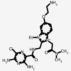 CCn1c(CNC(=O)c2nc(Cl)c(N)nc2N)[n+](CC(=O)N(C)C)c2ccc(OCCN)cc21